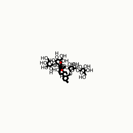 C=C1CC[C@H]2C34CCC[C@@](C)(C(=O)OC5OC(CO)C(O)C(O)C5OC5OC(CO)C(O)C(O)C5O)C3CC[C@]2(COC2OC(COC3OC(CO)C(O)C(O)C3O)C(O)C(O)C2OC2OC(CO)C(O)C(O)C2O4)C1